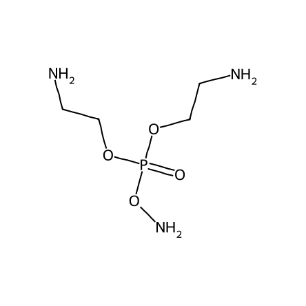 NCCOP(=O)(ON)OCCN